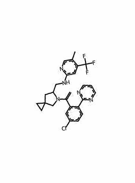 C=C(c1cc(Cl)ccc1-c1ncccn1)N1CC2(CC2)CC1CNc1cc(C(F)(F)F)c(C)cn1